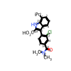 CC(C)c1cccc2c(-c3ccc(C(=O)N(C)C)cc3Cl)c(C(=O)O)[nH]c12